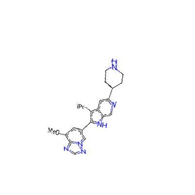 COc1cc(-c2[nH]c3cnc(C4CCNCC4)cc3c2C(C)C)cn2ncnc12